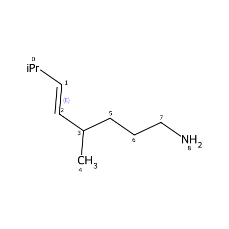 CC(C)/C=C/C(C)CCCN